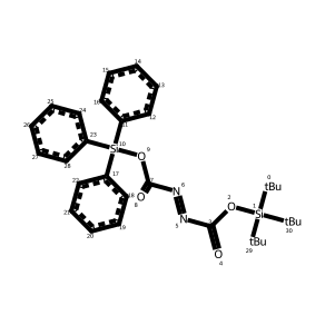 CC(C)(C)[Si](OC(=O)/N=N/C(=O)O[Si](c1ccccc1)(c1ccccc1)c1ccccc1)(C(C)(C)C)C(C)(C)C